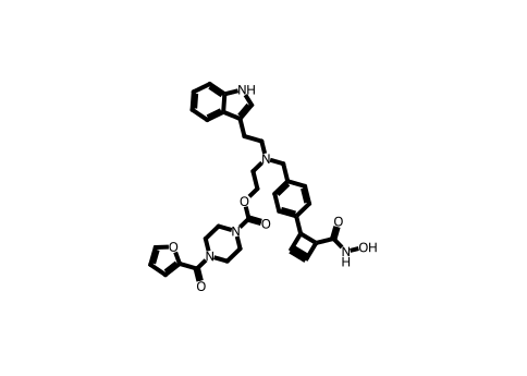 O=C(NO)C1C#CC1c1ccc(CN(CCOC(=O)N2CCN(C(=O)c3ccco3)CC2)CCc2c[nH]c3ccccc23)cc1